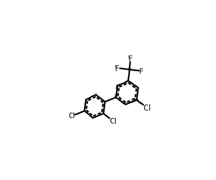 FC(F)(F)c1cc(Cl)cc(-c2[c]cc(Cl)cc2Cl)c1